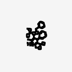 COC(=O)OC1=C(C)NC2=C(C(=O)OC2)C1c1ccccc1OCc1ccccc1